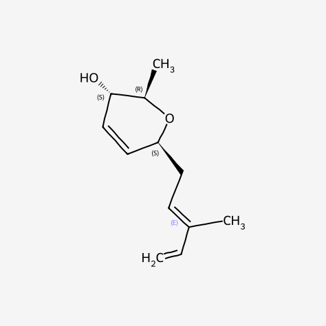 C=C/C(C)=C/C[C@H]1C=C[C@H](O)[C@@H](C)O1